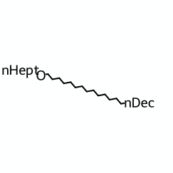 CCCCCCCCCCCCCCCCCCCCCCCCOCCCCCCC